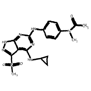 CC(=O)N(C)c1ccc(Nc2nc(NC3CC3)c3c(S(C)(=O)=O)n[nH]c3n2)cc1